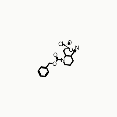 N#CC1CCCN(C(=O)OCc2ccccc2)C1CS(=O)(=O)Cl